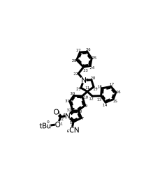 CC(C)(C)OC(=O)n1c(C#N)cc2cc(C3(Cc4ccccc4)CCN(Cc4ccccc4)C3)ccc21